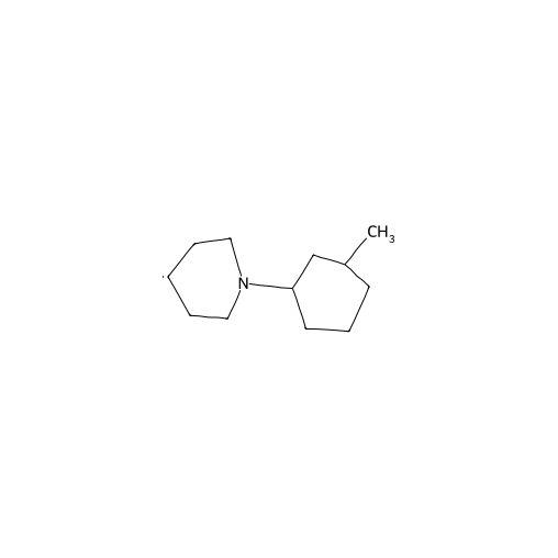 CC1CCCC(N2CC[CH]CC2)C1